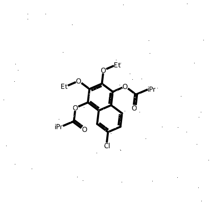 CCOc1c(OCC)c(OC(=O)C(C)C)c2cc(Cl)ccc2c1OC(=O)C(C)C